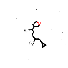 CC(CCC(C)C1CCOC1)CC1CC1